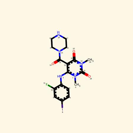 Cn1c(Nc2ccc(I)cc2F)c(C(=O)N2CCNCC2)c(=O)n(C)c1=O